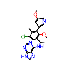 COc1cncc(-c2c(C)c(Cl)cc(C(C)Nc3ncnc4[nH]cnc34)c2OC)c1